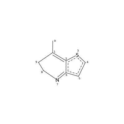 CC1=c2sccc2=NCC1